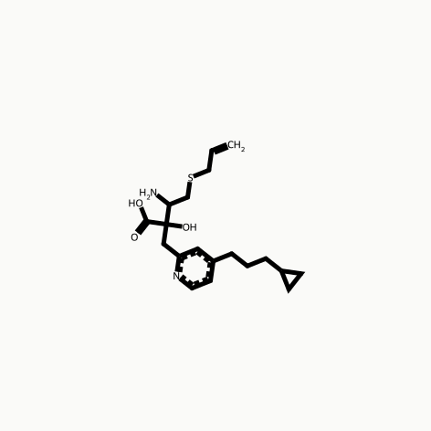 C=CCSCC(N)C(O)(Cc1cc(CCCC2CC2)ccn1)C(=O)O